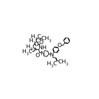 CC[C@H](C)C(NC(=O)OC(C)(C)C)C(=O)N1CCC(N(CC=C(C)C)c2ccc(OCc3ccccc3)cc2)CC1